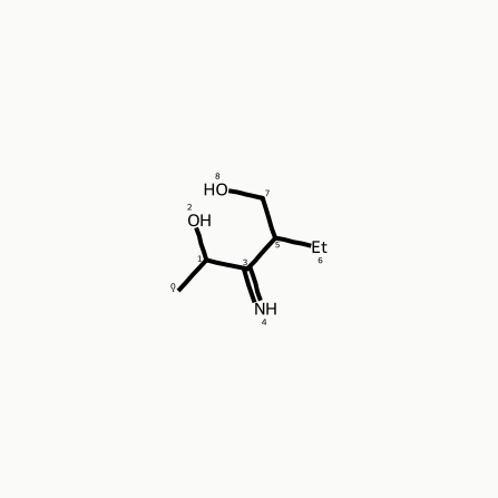 [CH2]C(O)C(=N)C(CC)CO